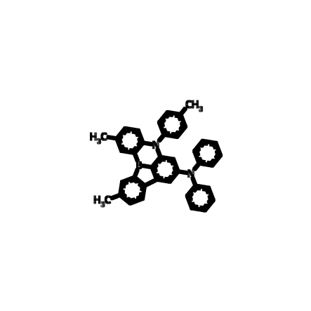 Cc1ccc(N2c3ccc(C)cc3B3c4cc(C)ccc4-c4cc(N(c5ccccc5)c5ccccc5)cc2c43)cc1